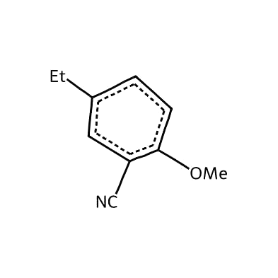 CCc1ccc(OC)c(C#N)c1